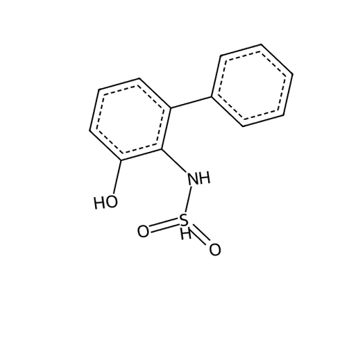 O=[SH](=O)Nc1c(O)cccc1-c1ccccc1